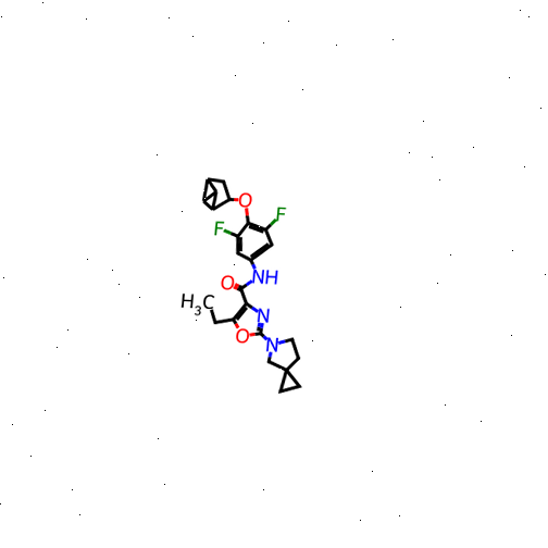 CCc1oc(N2CCC3(CC3)C2)nc1C(=O)Nc1cc(F)c(OC2CC3C4C2C34)c(F)c1